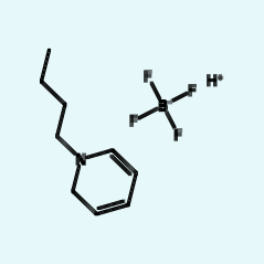 CCCCN1C=CC=CC1.F[B-](F)(F)F.[H+]